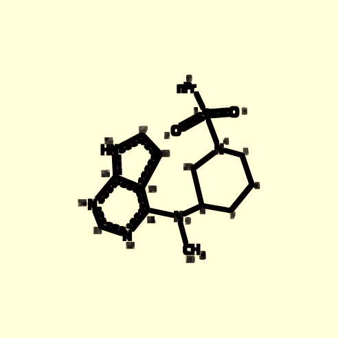 CCCS(=O)(=O)N1CCCC(N(C)c2ncnc3[nH]ccc23)C1